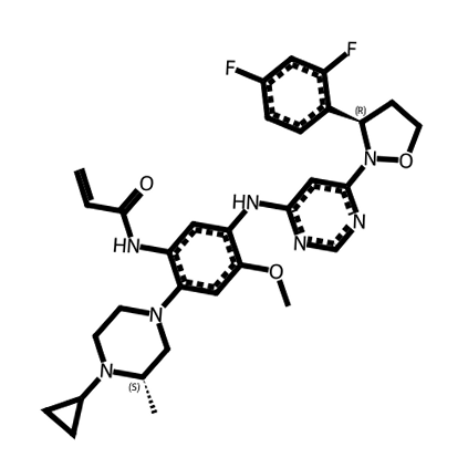 C=CC(=O)Nc1cc(Nc2cc(N3OCC[C@@H]3c3ccc(F)cc3F)ncn2)c(OC)cc1N1CCN(C2CC2)[C@@H](C)C1